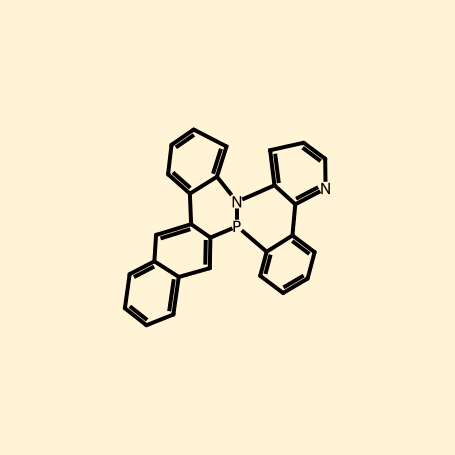 c1ccc2c(c1)-c1cc3ccccc3cc1P1c3ccccc3-c3ncccc3N21